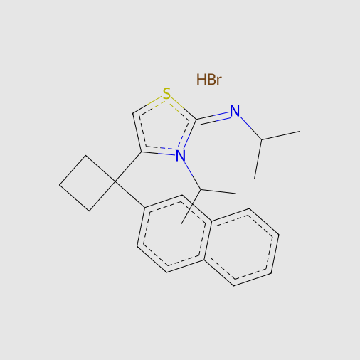 Br.CC(C)/N=c1/scc(C2(c3ccc4ccccc4c3)CCC2)n1C(C)C